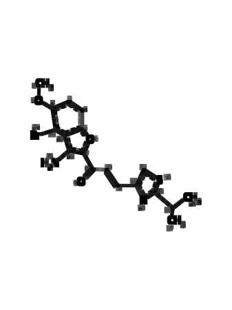 COc1ccc2oc(C(=O)/C=C/c3csc(C(C)C)n3)c(N)c2c1Br